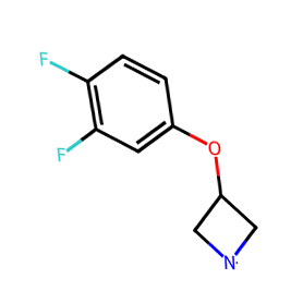 Fc1ccc(OC2C[N]C2)cc1F